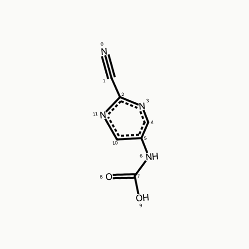 N#Cc1ncc(NC(=O)O)cn1